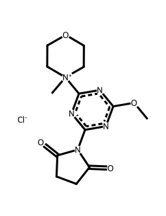 COc1nc(N2C(=O)CCC2=O)nc([N+]2(C)CCOCC2)n1.[Cl-]